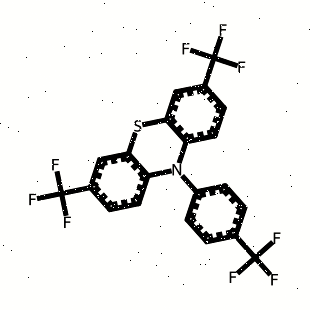 FC(F)(F)c1ccc(N2c3ccc(C(F)(F)F)cc3Sc3cc(C(F)(F)F)ccc32)cc1